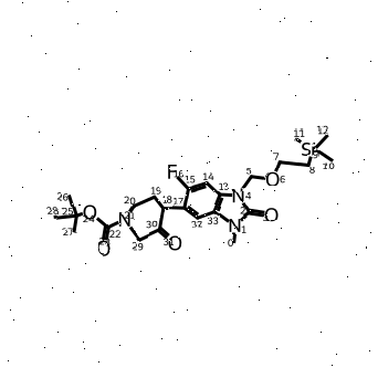 Cn1c(=O)n(COCC[Si](C)(C)C)c2cc(F)c(C3CCN(C(=O)OC(C)(C)C)CC3=O)cc21